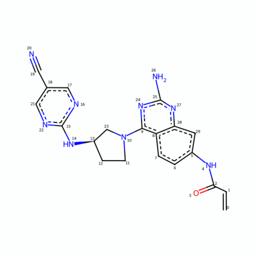 C=CC(=O)Nc1ccc2c(N3CC[C@@H](Nc4ncc(C#N)cn4)C3)nc(N)nc2c1